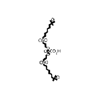 CC1(CCCCCCCS(=O)(=O)CCCOP(=O)(OCCCS(=O)(=O)CCCCCCCC2(C)COC2)C(=O)O)COC1